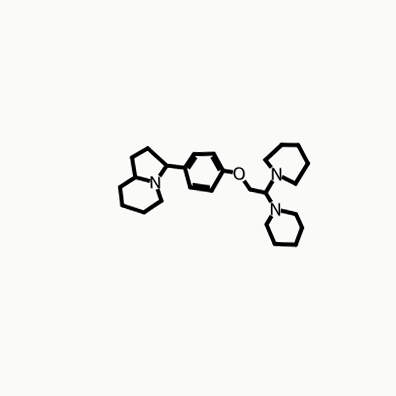 c1cc(C2CCC3CCCCN32)ccc1OCC(N1CCCCC1)N1CCCCC1